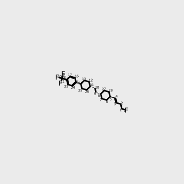 FCCC=C[C@H]1CC[C@H](CC[C@H]2CC[C@H](c3ccc(C(F)(F)F)cc3)CC2)CC1